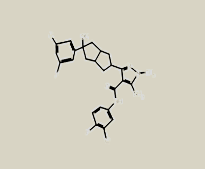 Cn1nc(C2CC3CC(O)(c4cc(F)cc(F)c4)CC3C2)c(C(=O)Nc2ccc(F)c(Cl)c2)c1N